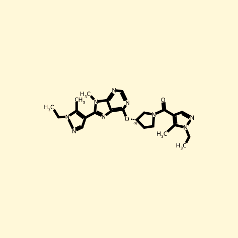 CCn1ncc(C(=O)N2CC[C@H](Oc3ncnc4c3nc(-c3cnn(CC)c3C)n4C)C2)c1C